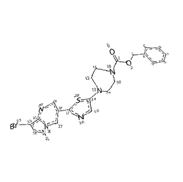 O=C(OCc1ccccc1)N1CCN(c2cnc(-c3cnc4c(Br)cnn4c3)s2)CC1